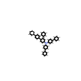 C1=CCC(c2ccc(-c3ccc(N(c4ccc(-c5ccccc5)cc4)c4ccc(-c5ccccc5)cc4)cc3-c3ccccc3)cc2)C=C1